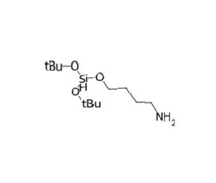 CC(C)(C)O[SiH](OCCCCN)OC(C)(C)C